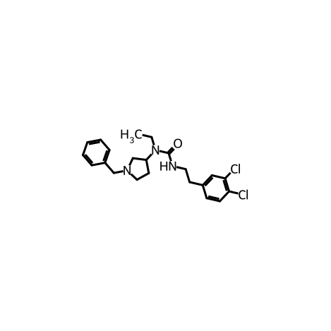 CCN(C(=O)NCCc1ccc(Cl)c(Cl)c1)C1CCN(Cc2ccccc2)C1